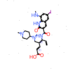 C=C/C(NC(=O)c1cc2cc(I)cc(NC)c2[nH]c1=O)=C(\C=C\C(=O)O)CN(C)C1CCN(C)CC1